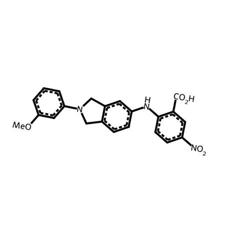 COc1cccc(N2Cc3ccc(Nc4ccc([N+](=O)[O-])cc4C(=O)O)cc3C2)c1